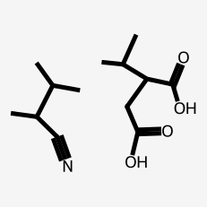 CC(C)C(C)C#N.CC(C)C(CC(=O)O)C(=O)O